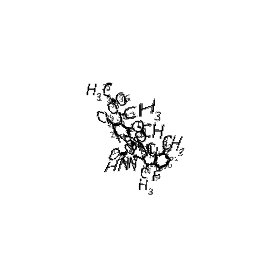 COc1c(S(=O)(=O)NC(c2n[nH]c(=O)o2)C(C)c2c(F)ccc(C)c2C)ncc(Cl)c1C(C)OC(C)=O